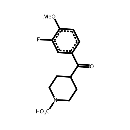 COc1ccc(C(=O)C2CCN(C(=O)O)CC2)cc1F